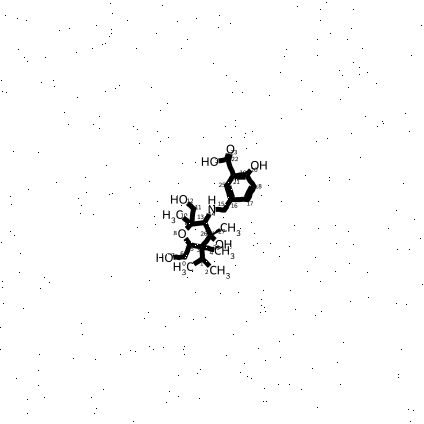 CC(C)C1(C)C(CO)OC(C)(CO)C(NCc2ccc(O)c(C(=O)O)c2)[C@]1(C)O